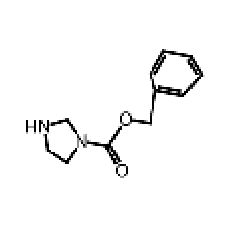 O=C(OCc1ccccc1)N1CCNC1